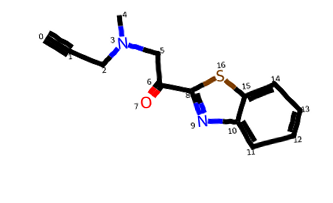 C#CCN(C)CC(=O)c1nc2ccccc2s1